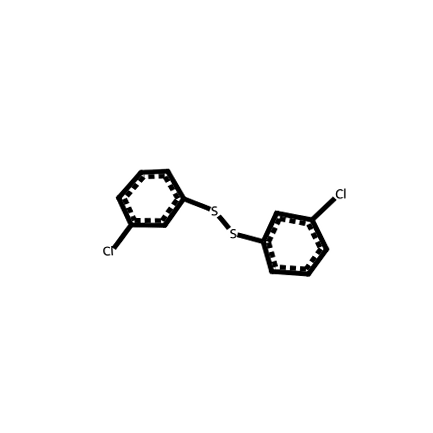 Clc1cccc(SSc2cccc(Cl)c2)c1